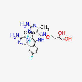 COc1nc(-c2cc(F)ccc2[C@@H]2N/C(=N\OCCC(O)CO)c3c(C)nc(N)nc3C2(F)F)cnc1N